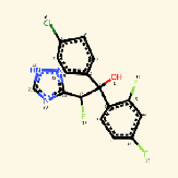 OC(c1ccc(Cl)cc1)(c1ccc(F)cc1F)C(F)c1nc[nH]n1